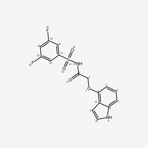 O=C(COc1cccc2[nH]ccc12)NS(=O)(=O)c1cc(F)cc(F)c1